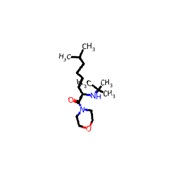 CC(C)CCCCC(NC(C)(C)C)C(=O)N1CCOCC1